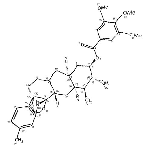 COc1cc(C(=O)O[C@@H]2C[C@@H]3CN4CC[C@@]56OCCO[C@@]5(Nc5cc(C)ccc56)[C@H]4C[C@@H]3[C@H](C)[C@H]2O)cc(OC)c1OC